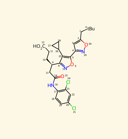 CC(C)(C)Cc1cc(-c2onc([C@H](CCC(=O)O)CC(=O)Nc3ccc(Cl)cc3Cl)c2C2CC2)no1